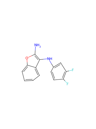 Nc1oc2ccccc2c1Nc1ccc(F)c(F)c1